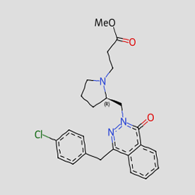 COC(=O)CCN1CCC[C@@H]1Cn1nc(Cc2ccc(Cl)cc2)c2ccccc2c1=O